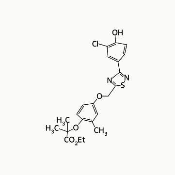 CCOC(=O)C(C)(C)Oc1ccc(OCc2nc(-c3ccc(O)c(Cl)c3)ns2)cc1C